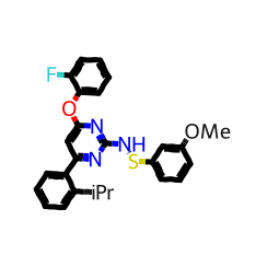 COc1cccc(SNc2nc(Oc3ccccc3F)cc(-c3ccccc3C(C)C)n2)c1